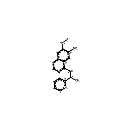 CCNc1cc2ncnc(NC(C)c3ccccn3)c2cc1[N+](=O)[O-]